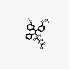 CCC(=O)ONC(=O)NC(c1ccccc1)C(c1cccc(OC(F)(F)F)c1)c1cccc(OC(F)(F)F)c1